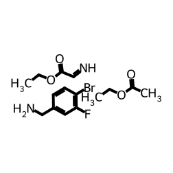 CCOC(=O)C=N.CCOC(C)=O.NCc1ccc(Br)c(F)c1